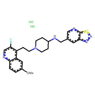 COc1ccc2ncc(F)c(CCN3CCC(NCc4cnc5snnc5c4)CC3)c2c1.Cl.Cl